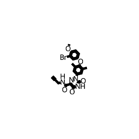 C#CCNC(=O)c1nn(-c2cc(C)c(Oc3ccc(OC)c(Br)c3)c(C)c2)c(=O)[nH]c1=O